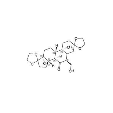 C[C@]12CCC3(CC1[C@@H](CO)C(=O)[C@@H]1[C@@H]2CC[C@@]2(C)[C@H]1CCC21OCCO1)OCCO3